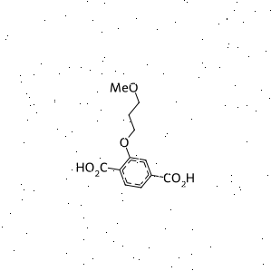 COCCCOc1cc(C(=O)O)ccc1C(=O)O